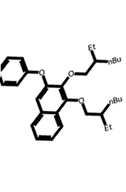 CCCCC(CC)COc1c(Oc2ccccc2)cc2ccccc2c1OCC(CC)CCCC